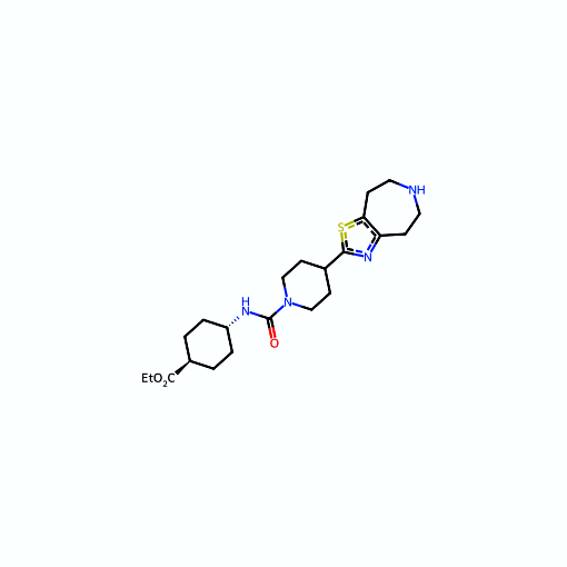 CCOC(=O)[C@H]1CC[C@H](NC(=O)N2CCC(c3nc4c(s3)CCNCC4)CC2)CC1